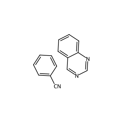 N#Cc1ccccc1.c1ccc2ncncc2c1